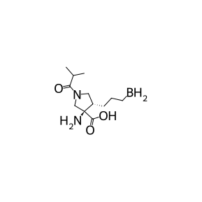 BCCC[C@H]1CN(C(=O)C(C)C)C[C@@]1(N)C(=O)O